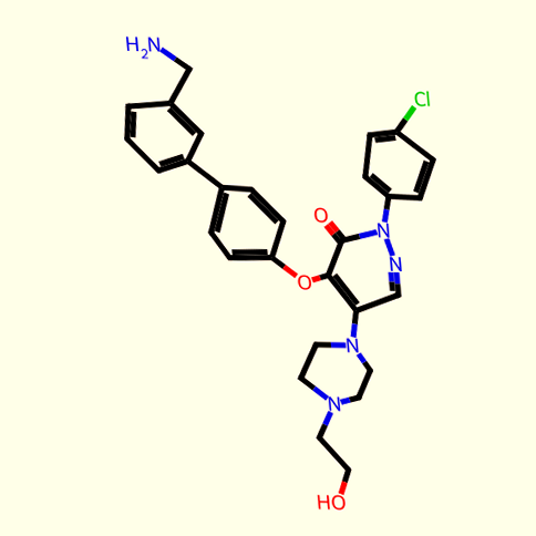 NCc1cccc(-c2ccc(Oc3c(N4CCN(CCO)CC4)cnn(-c4ccc(Cl)cc4)c3=O)cc2)c1